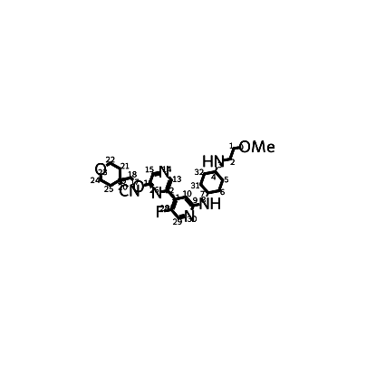 COCCN[C@H]1CC[C@H](Nc2cc(-c3cncc(OCC4(C#N)CCOCC4)n3)c(F)cn2)CC1